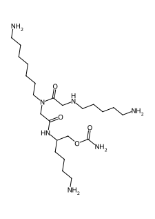 NCCCCCCCN(CC(=O)NC(CCCCN)COC(N)=O)C(=O)CNCCCCCN